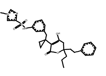 CCCC1(CCc2ccccc2)CC(O)=C(C2(Cc3cccc(NS(=O)(=O)c4cn(C)cn4)c3)CC2)C(=O)O1